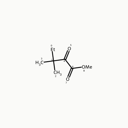 CCC(C)(C)C(=O)C(=O)OC